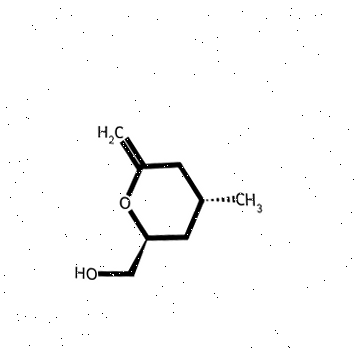 C=C1C[C@H](C)C[C@@H](CO)O1